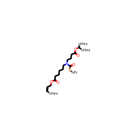 CCCCCC/C=C\COC(=O)CCCCCN(CCCC(=O)OC(CCCCCC)CCCCCC)C(=O)SCCC